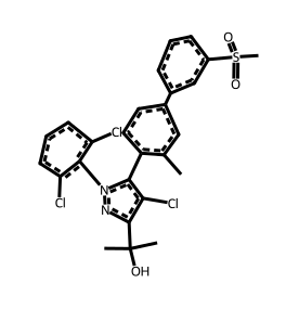 Cc1cc(-c2cccc(S(C)(=O)=O)c2)ccc1-c1c(Cl)c(C(C)(C)O)nn1-c1c(Cl)cccc1Cl